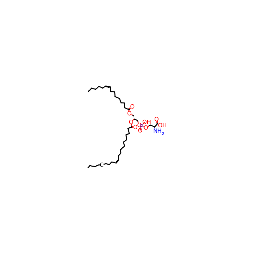 CCCCC/C=C\CCCCCCCC(=O)OC[C@H](COP(=O)(O)OC[C@H](N)C(=O)O)OC(=O)CCCCCCCCC/C=C\CCCCCCCC